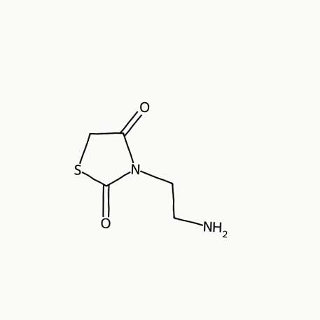 NCCN1C(=O)CSC1=O